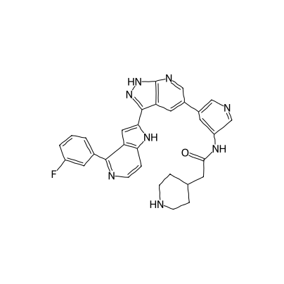 O=C(CC1CCNCC1)Nc1cncc(-c2cnc3[nH]nc(-c4cc5c(-c6cccc(F)c6)nccc5[nH]4)c3c2)c1